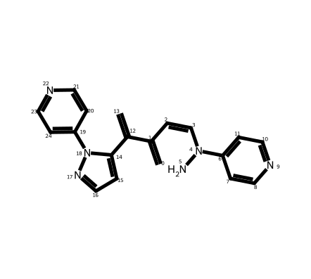 C=C(/C=C\N(N)c1ccncc1)C(=C)c1ccnn1-c1ccncc1